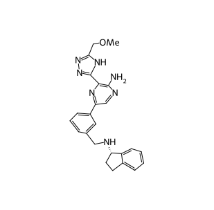 COCc1nnc(-c2nc(-c3cccc(CN[C@H]4CCc5ccccc54)c3)cnc2N)[nH]1